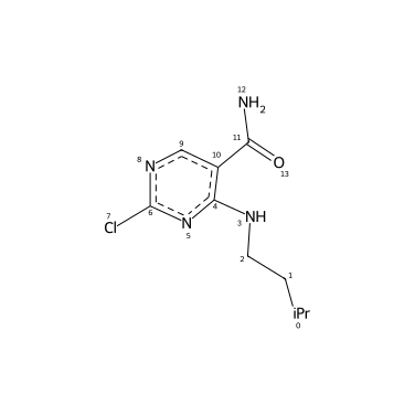 CC(C)CCNc1nc(Cl)ncc1C(N)=O